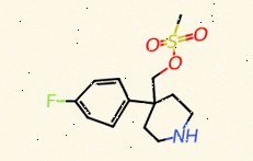 CS(=O)(=O)OCC1(c2ccc(F)cc2)CCNCC1